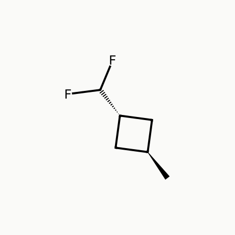 C[C@H]1C[C@H](C(F)F)C1